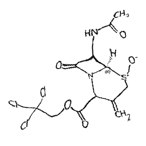 C=C1C[S+]([O-])[C@@H]2C(NC(C)=O)C(=O)N2C1C(=O)OCC(Cl)(Cl)Cl